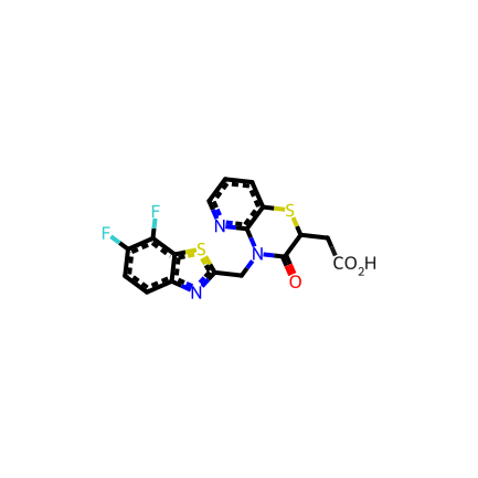 O=C(O)CC1Sc2cccnc2N(Cc2nc3ccc(F)c(F)c3s2)C1=O